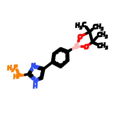 CC1(C)OB(c2ccc(-c3c[nH]c(PP)n3)cc2)OC1(C)C